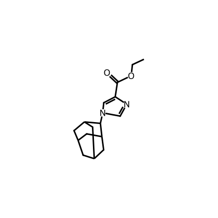 CCOC(=O)c1cn(C2C3CC4CC(C3)CC2C4)cn1